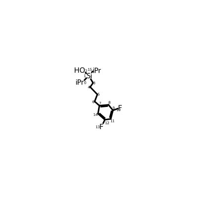 CC(C)[Si](O)(CCCCc1cc(F)cc(F)c1)C(C)C